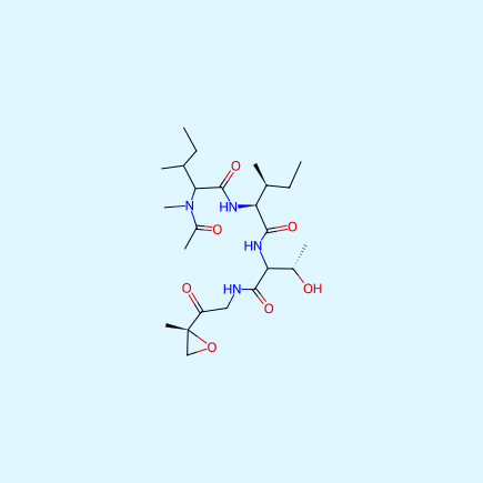 CCC(C)C(C(=O)N[C@H](C(=O)NC(C(=O)NCC(=O)[C@@]1(C)CO1)[C@H](C)O)[C@@H](C)CC)N(C)C(C)=O